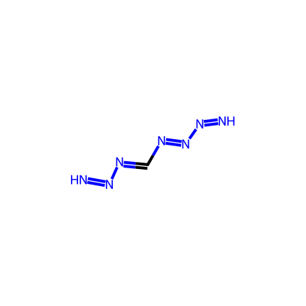 N=N/N=C/N=N/N=N